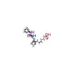 O=C(O)CCC/C=C\CC1C2CCC(C2)C1CCNC(=O)Nc1ccccc1